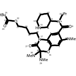 CNc1cc2c(cc1C(=O)N(C(C)C)C1CCCNC1)N(CCCCOC(=O)C(C)(C)C)C(=O)C(NC)(NC)O2